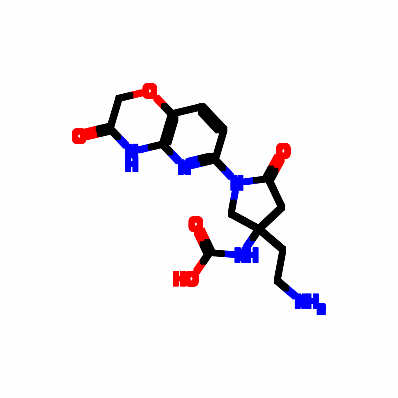 NCCC1(NC(=O)O)CC(=O)N(c2ccc3c(n2)NC(=O)CO3)C1